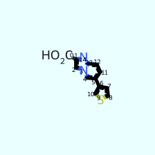 O=C(O)c1cn2cc(-c3ccsc3)ccc2n1